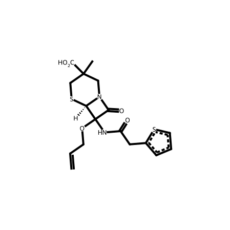 C=CCOC1(NC(=O)Cc2cccs2)C(=O)N2CC(C)(C(=O)O)CS[C@@H]21